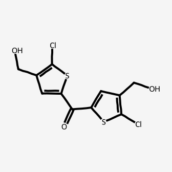 O=C(c1cc(CO)c(Cl)s1)c1cc(CO)c(Cl)s1